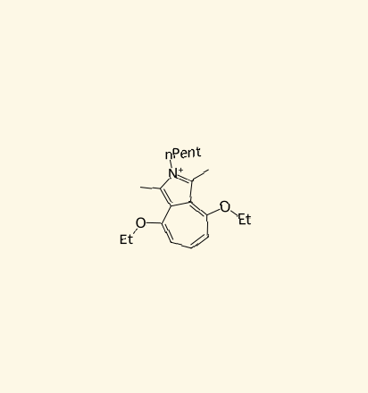 CCCCC[n+]1c(C)c2c(OCC)cccc(OCC)c-2c1C